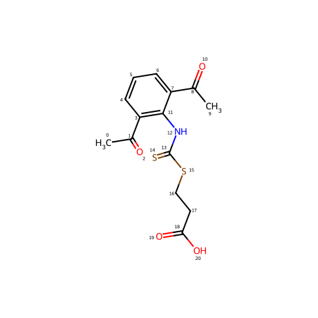 CC(=O)c1cccc(C(C)=O)c1NC(=S)SCCC(=O)O